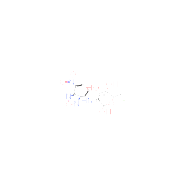 O=[N+]([O-])c1ccc(N[C@H]2C(O)OC(CF)[C@H](O)C2O)c2nonc12